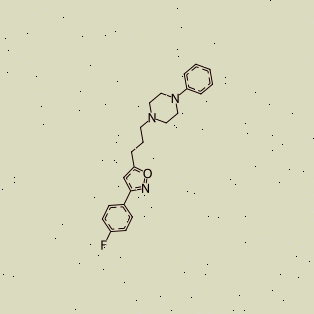 Fc1ccc(-c2cc(CCCN3CCN(c4ccccc4)CC3)on2)cc1